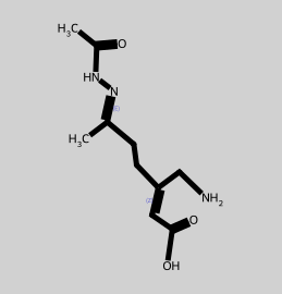 CC(=O)N/N=C(\C)CC/C(=C/C(=O)O)CN